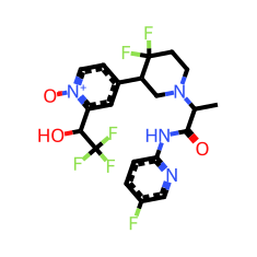 CC(C(=O)Nc1ccc(F)cn1)N1CCC(F)(F)C(c2cc[n+]([O-])c(C(O)C(F)(F)F)c2)C1